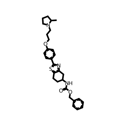 CC1CCCN1CCCOc1ccc(-c2nc3c(s2)CCC(NC(=O)OCc2ccccc2)C3)cc1